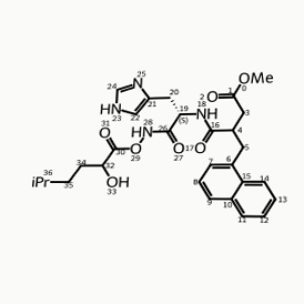 COC(=O)CC(Cc1cccc2ccccc12)C(=O)N[C@@H](Cc1c[nH]cn1)C(=O)NOC(=O)C(O)CCC(C)C